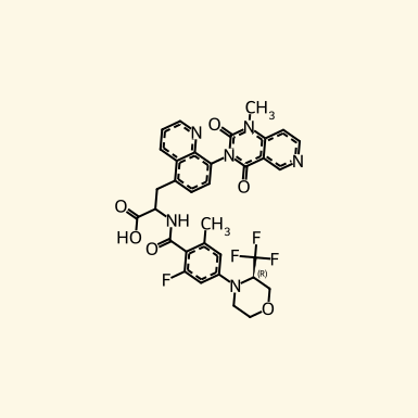 Cc1cc(N2CCOC[C@@H]2C(F)(F)F)cc(F)c1C(=O)NC(Cc1ccc(-n2c(=O)c3cnccc3n(C)c2=O)c2ncccc12)C(=O)O